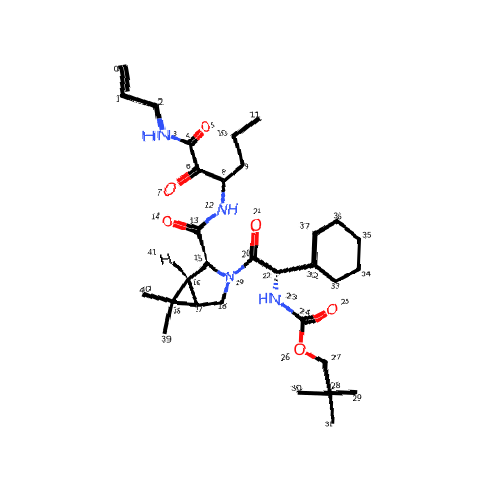 C=CCNC(=O)C(=O)C(CCC)NC(=O)[C@@H]1[C@@H]2C(CN1C(=O)[C@@H](NC(=O)OCC(C)(C)C)C1CCCCC1)C2(C)C